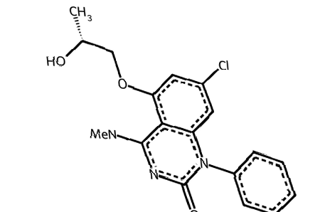 CNc1nc(=O)n(-c2ccccc2)c2cc(Cl)cc(OC[C@@H](C)O)c12